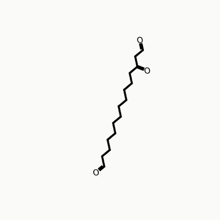 O=CCCCCCCCCCCCC(=O)CC=O